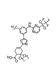 Cc1cc(Nc2nccc(S(=O)(=O)C(F)(F)F)n2)cc(-c2cnc(C3=CCC(C(=O)O)C(C)(C)C3)s2)c1